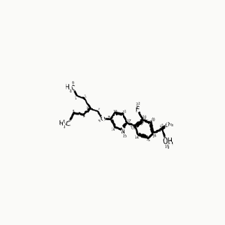 CCCC(CCC)COc1ccc(-c2ccc(C(=O)O)cc2F)nc1